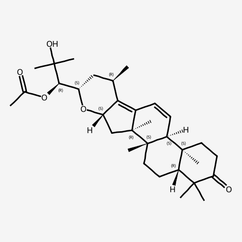 CC(=O)O[C@H]([C@@H]1C[C@@H](C)C2=C3C=C[C@H]4[C@@]5(C)CCC(=O)C(C)(C)[C@@H]5CC[C@]4(C)[C@@]3(C)C[C@@H]2O1)C(C)(C)O